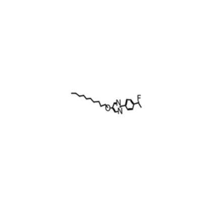 CCCCCCCCCCOc1cnc(-c2ccc(C(C)F)cc2)nc1